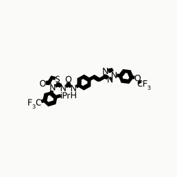 CC(C)c1ccc(C(F)(F)F)cc1N1C(=O)CS/C1=N\C(=O)Nc1ccc(/C=C/c2ncn(-c3ccc(OC(F)(F)F)cc3)n2)cc1